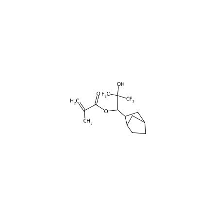 C=C(C)C(=O)OC(C1CC2CCC1C2)C(O)(C(F)(F)F)C(F)(F)F